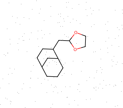 C1CC2CCC(CC3OCCO3)C(C1)C2